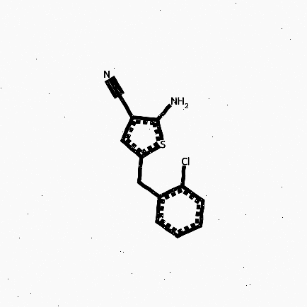 N#Cc1cc(Cc2ccccc2Cl)sc1N